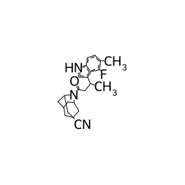 Cc1ccc2[nH]cc(C(C)CC(=O)N3C4CC5CC3CC(C#N)(C5)C4)c2c1F